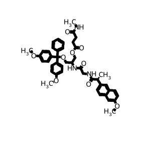 CNC(=O)CCC(=O)OCC(COC(c1ccccc1)(c1ccc(OC)cc1)c1ccc(OC)cc1)NC(=O)CNC(=O)[C@@H](C)c1ccc2cc(OC)ccc2c1